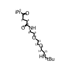 CC(C)C(=O)CCC(=O)NCCOCCOCCNC(C)(C)C